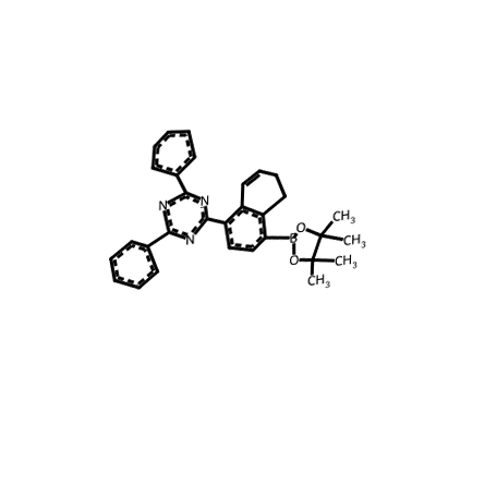 CC1(C)OB(c2ccc(-c3nc(-c4ccccc4)nc(-c4ccccc4)n3)c3c2CCC=C3)OC1(C)C